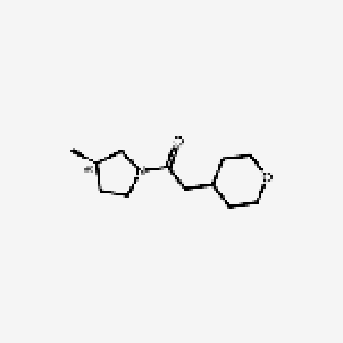 C[C@@H]1CCN(C(=O)CC2CCOCC2)C1